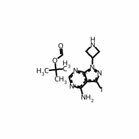 CC(C)(C)OC=O.Nc1ncnc2c1c(I)nn2C1CNC1